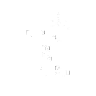 CC[C@@]1(O)C(=O)OCc2c1cc1n(c2=O)Cc2c-1nc1cc(F)c(C)c3c1c2[C@@H](NC(=O)CN(CCNC(=O)O)CCOC1CCCCO1)CC3